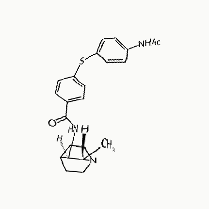 CC(=O)Nc1ccc(Sc2ccc(C(=O)N[C@@H]3C4CCN(CC4)[C@H]3C)cc2)cc1